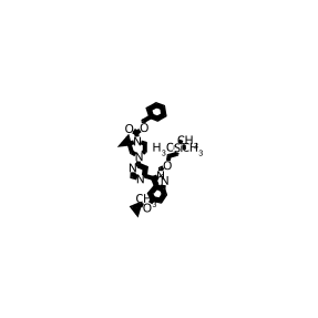 CC1(Oc2ccc3nn(COCC[Si](C)(C)C)c(-c4cc(N5CCN(C(=O)OCc6ccccc6)C6(CC6)C5)ncn4)c3c2)CC1